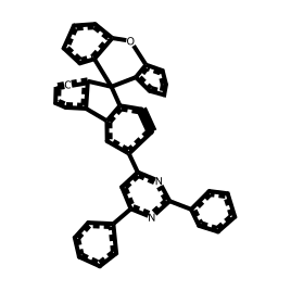 c1c(-c2cc(-c3ccccc3)nc(-c3ccccc3)n2)cc2c(c#1)C1(c3ccccc3Oc3ccccc31)c1ccccc1-2